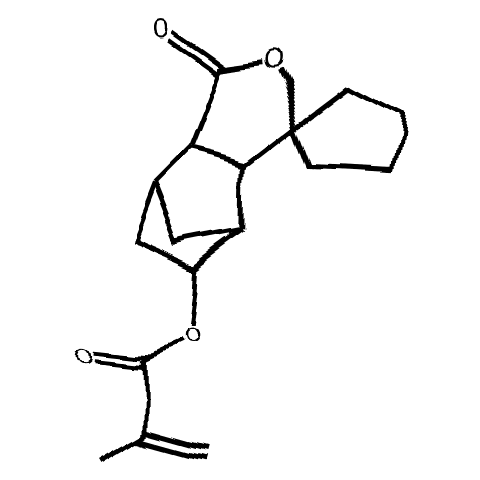 C=C(C)C(=O)OC1CC2CC1C1C2C(=O)OC12CCCC2